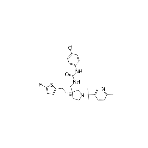 Cc1ccc(C(C)(C)N2CC[C@@](CCc3ccc(F)s3)(CNC(=O)Nc3ccc(Cl)cc3)C2)cn1